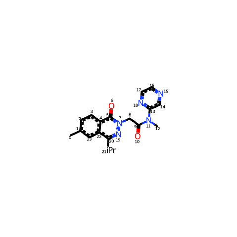 Cc1ccc2c(=O)n(CC(=O)N(C)c3cnccn3)nc(C(C)C)c2c1